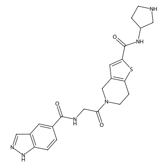 O=C(NCC(=O)N1CCc2sc(C(=O)NC3CCNC3)cc2C1)c1ccc2[nH]ncc2c1